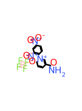 F[B-](F)(F)F.NC(=O)c1ccc[n+](-c2ccc([N+](=O)[O-])cc2[N+](=O)[O-])c1